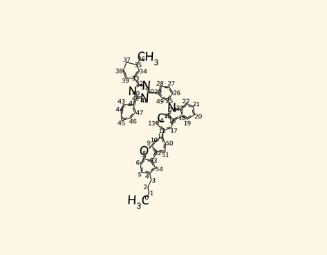 CCCCc1ccc2oc3cc(-c4ccc5c(c4)c4ccccc4n5-c4cccc(-c5nc(C6=CC(C)CC=C6)nc(-c6ccccc6)n5)c4)ccc3c2c1